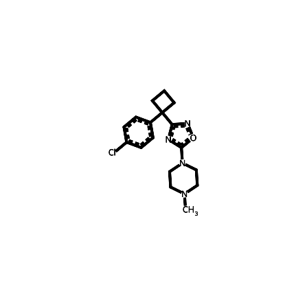 CN1CCN(c2nc(C3(c4ccc(Cl)cc4)CCC3)no2)CC1